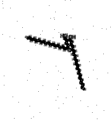 CCCCCCCCCCCCCCCCCC(CCCCO)OC(CCCCO)CCCCCCCCCCCCCCCCC